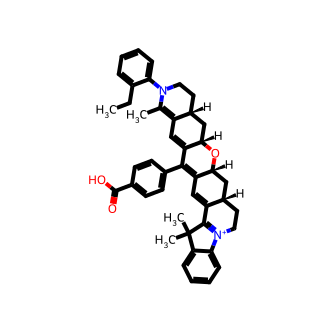 CCc1ccccc1N1CC[C@@H]2C[C@@H]3O[C@@H]4C[C@@H]5CC[N+]6=C(C5=CC4=C(c4ccc(C(=O)O)cc4)C3=CC2=C1C)C(C)(C)c1ccccc16